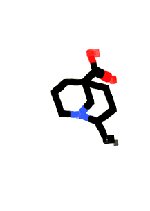 CC1CCC2(C(=O)O)CCCN1C2